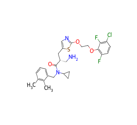 Cc1cccc(CN(C(=O)[C@@H](CN)Cc2cnc(OCCOc3c(F)ccc(Cl)c3F)s2)C2CC2)c1C